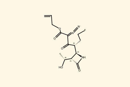 C=CCOC(=O)C(=[N+]=[N-])C(=O)[C@H](CCF)[C@H]1NC(=O)[C@@H]1[C@@H](C)O